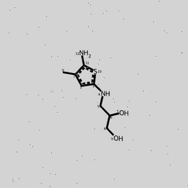 Cc1cc(NCC(O)CO)sc1N